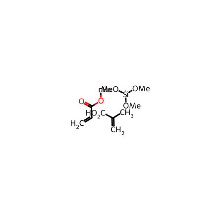 C=C(C)C(=O)O.C=CC(=O)OCCCC.CO[Si](OC)OC